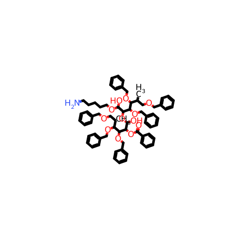 CC(COCc1ccccc1)C(OCc1ccccc1)C(OCc1ccccc1)C(OC(=O)c1ccccc1)C(O)OC(C(O)OCCCCCN)C(OCc1ccccc1)C(OCc1ccccc1)C(C)COCc1ccccc1